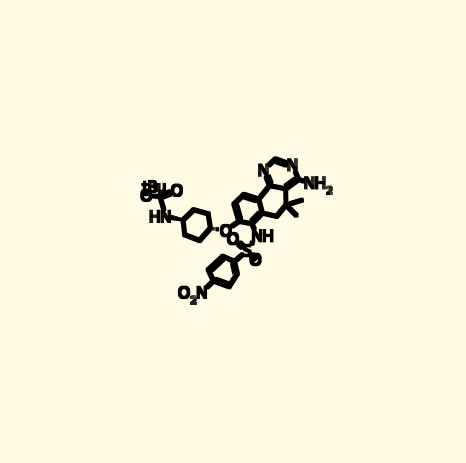 CC(C)(C)OC(=O)N[C@H]1CC[C@H](Oc2ccc3c(c2NS(=O)(=O)c2ccc([N+](=O)[O-])cc2)CC(C)(C)c2c(N)ncnc2-3)CC1